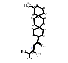 CCC(CC)/C(O)=C/C(=O)C1CCC2(CC1)CCC1(CCCC(C)C1)CC2